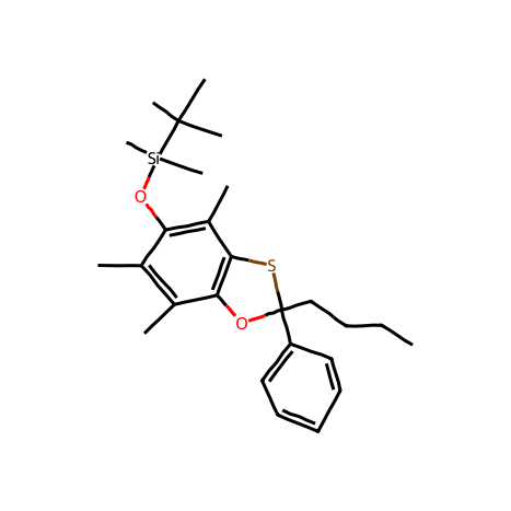 CCCCC1(c2ccccc2)Oc2c(C)c(C)c(O[Si](C)(C)C(C)(C)C)c(C)c2S1